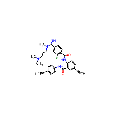 C#Cc1ccc(NC(=O)c2cc(C#C)ccc2NC(=O)c2ccc(C(=N)N(C)CCCN(C)C)cc2F)cc1